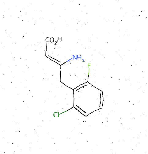 N/C(=C\C(=O)O)Cc1c(F)cccc1Cl